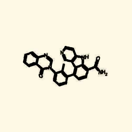 Cc1c(-c2ccc(C(N)=O)c3[nH]c4ccncc4c23)cccc1-n1cnc2ccccc2c1=O